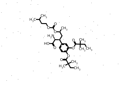 CCC(C)(C)C(=O)Oc1ccc(C(CC(C)OC(=O)OCCC(C)C)[C@H](N)C(=O)O)cc1OC(=O)C(C)(C)CC